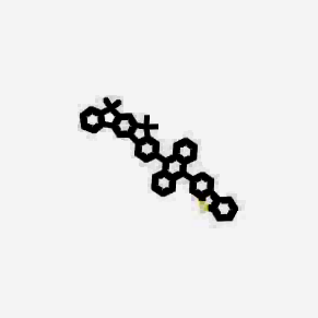 CC1(C)c2ccccc2-c2cc3c(cc21)C(C)(C)c1cc(-c2c4ccccc4c(-c4ccc5c(c4)sc4ccccc45)c4ccccc24)ccc1-3